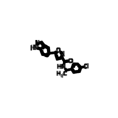 C[C@H](NC(=O)c1cc(-c2ccc3[nH]ncc3c2)on1)c1ccc(Cl)cc1